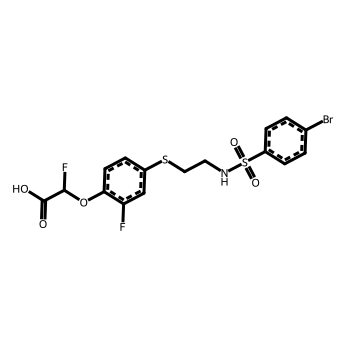 O=C(O)C(F)Oc1ccc(SCCNS(=O)(=O)c2ccc(Br)cc2)cc1F